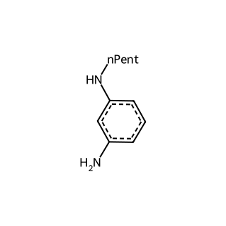 CCCCCNc1cccc(N)c1